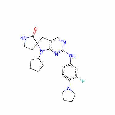 O=C1NCCC12Cc1cnc(Nc3ccc(N4CCCC4)c(F)c3)nc1N2C1CCCC1